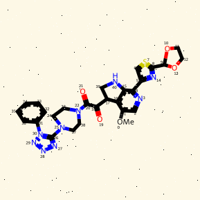 COc1cnc(-c2csc(C3OCCO3)n2)c2c1C(C(=O)C(=O)N1CCN(c3nnnn3-c3ccccc3)CC1)CN2